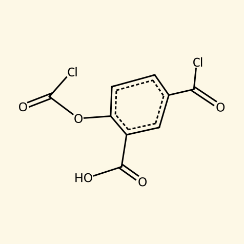 O=C(Cl)Oc1ccc(C(=O)Cl)cc1C(=O)O